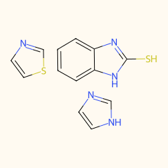 Sc1nc2ccccc2[nH]1.c1c[nH]cn1.c1cscn1